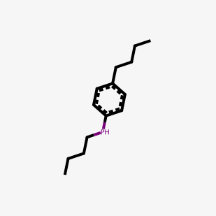 CCCCPc1ccc(CCCC)cc1